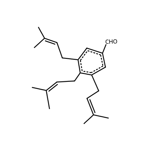 CC(C)=CCc1cc(C=O)cc(CC=C(C)C)c1CC=C(C)C